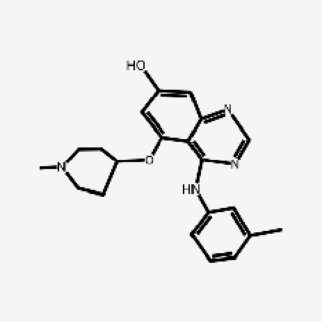 Cc1cccc(Nc2ncnc3cc(O)cc(OC4CCN(C)CC4)c23)c1